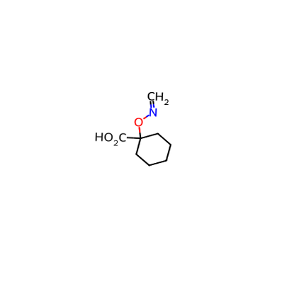 C=NOC1(C(=O)O)CCCCC1